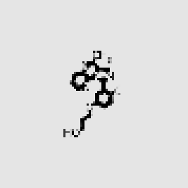 Cc1nc2cccnc2n2c(-c3cc(OCCCO)ccc3Cl)ncc12